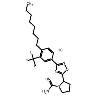 CCCCCCCCc1ccc(-c2noc(C3CCCN3C(=N)N)n2)cc1C(F)(F)F.Cl